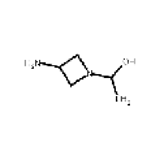 CC(O)N1CC(N)C1